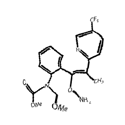 COCN(C(=O)OC)c1ccccc1/C(ON)=C(/C)c1ccc(C(F)(F)F)cn1